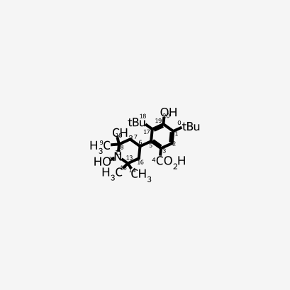 CC(C)(C)c1cc(C(=O)O)c(C2CC(C)(C)N(O)C(C)(C)C2)c(C(C)(C)C)c1O